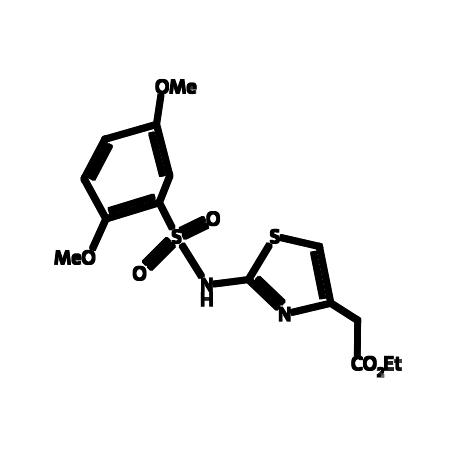 CCOC(=O)Cc1csc(NS(=O)(=O)c2cc(OC)ccc2OC)n1